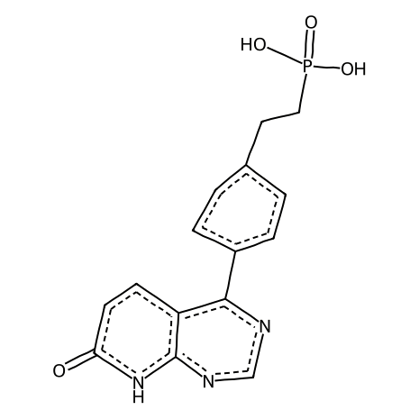 O=c1ccc2c(-c3ccc(CCP(=O)(O)O)cc3)ncnc2[nH]1